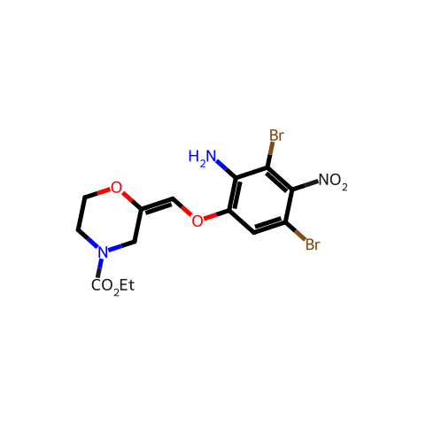 CCOC(=O)N1CCOC(=COc2cc(Br)c([N+](=O)[O-])c(Br)c2N)C1